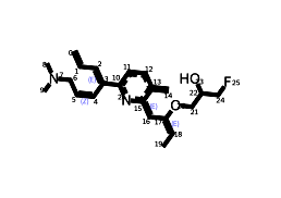 C=C/C=C(\C=C/CN(C)C)c1ccc(=C)/c(=C\C(=C/C)OCC(O)CF)n1